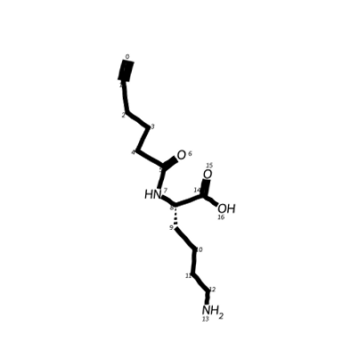 C#CCCCC(=O)N[C@@H](CCCCN)C(=O)O